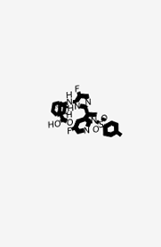 Cc1ccc(S(=O)(=O)n2cc(-c3ncc(F)c(N[C@H]4C5CCC(CC5)[C@@H]4C(=O)O)n3)c3cc(F)cnc32)cc1